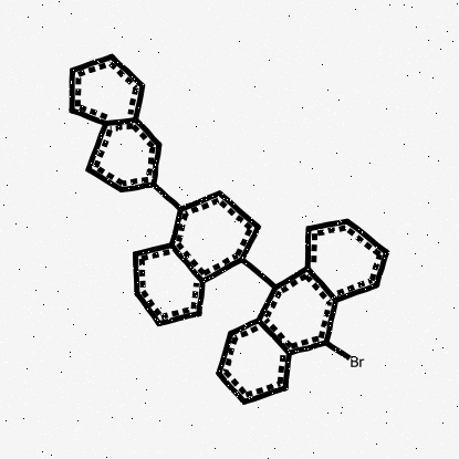 Brc1c2ccccc2c(-c2ccc(-c3ccc4ccccc4c3)c3ccccc23)c2ccccc12